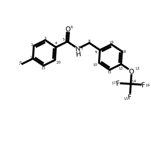 [CH2]c1ccc(C(=O)NCc2ccc(OC(F)(F)F)cc2)cc1